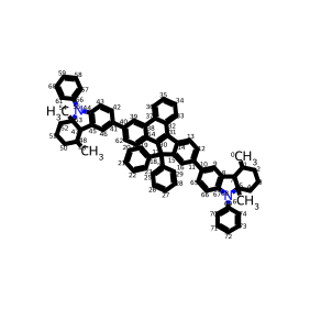 CC1CCCC2(C)C1c1cc(-c3ccc4c(c3)C(c3ccccc3)(c3ccccc3)c3c-4c4ccccc4c4cc(-c5ccc6c(c5)C5C(C)CCCC5(C)N6c5ccccc5)ccc34)ccc1N2c1ccccc1